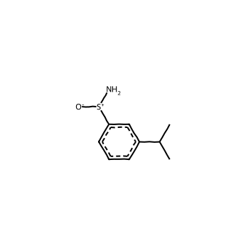 CC(C)c1cccc([S+](N)[O-])c1